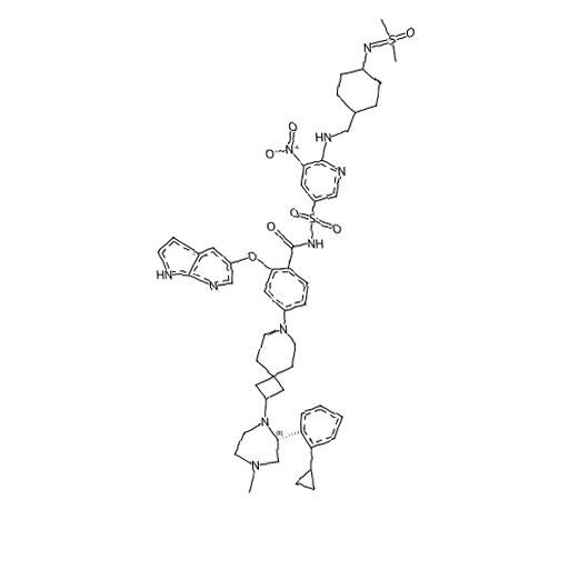 CN1CCN(C2CC3(CCN(c4ccc(C(=O)NS(=O)(=O)c5cnc(NCC6CCC(N=S(C)(C)=O)CC6)c([N+](=O)[O-])c5)c(Oc5cnc6[nH]ccc6c5)c4)CC3)C2)[C@H](c2ccccc2C2CC2)C1